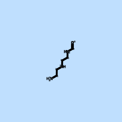 NCCNCCNC=O